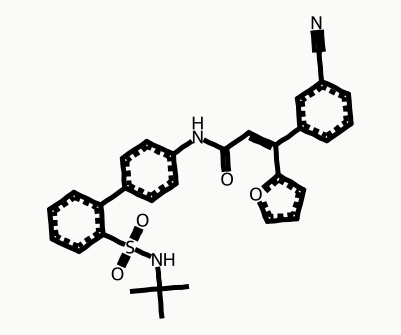 CC(C)(C)NS(=O)(=O)c1ccccc1-c1ccc(NC(=O)C=C(c2cccc(C#N)c2)c2ccco2)cc1